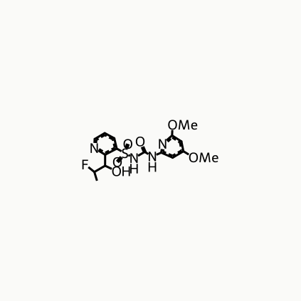 COc1cc(NC(=O)NS(=O)(=O)c2cccnc2C(O)C(C)F)nc(OC)c1